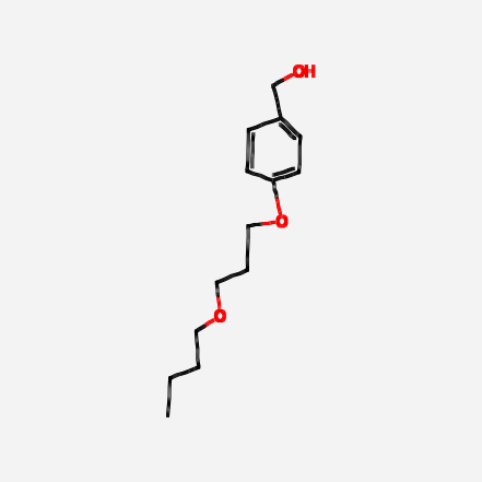 CCCCOCCCOc1ccc(CO)cc1